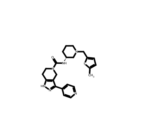 Cc1ccc(CN2CCC[C@@H](NC(=O)N3CCc4[nH]nc(-c5ccncc5)c4C3)C2)s1